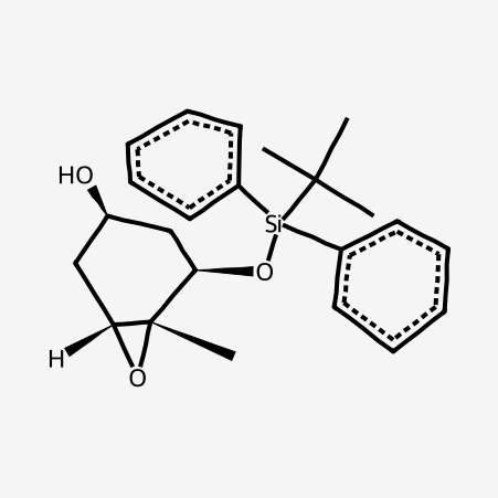 CC(C)(C)[Si](O[C@@H]1C[C@H](O)C[C@H]2O[C@]21C)(c1ccccc1)c1ccccc1